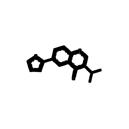 CC(C)c1coc2ccc(-c3ccco3)cc2c1=O